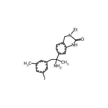 CCN1Cc2ccc(C(C)(N)Cc3cc(C)cc(I)c3)cc2NC1=O